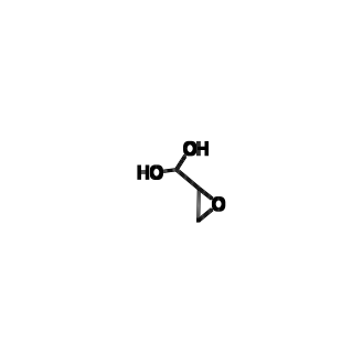 OC(O)C1CO1